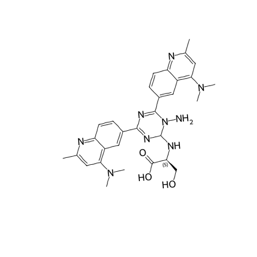 Cc1cc(N(C)C)c2cc(C3=NC(N[C@@H](CO)C(=O)O)N(N)C(c4ccc5nc(C)cc(N(C)C)c5c4)=N3)ccc2n1